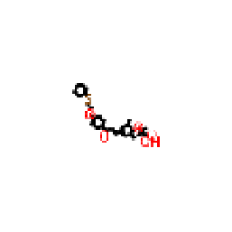 Cc1cc(/C=C/C(=O)c2ccc(OCCSC3CCCCC3)cc2)cc(C)c1OC(C)(C)C(=O)O